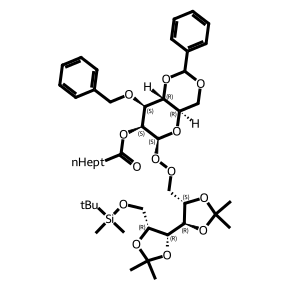 CCCCCCCC(=O)O[C@@H]1[C@H](OOC[C@@H]2OC(C)(C)O[C@H]2[C@@H]2OC(C)(C)O[C@@H]2CO[Si](C)(C)C(C)(C)C)O[C@@H]2COC(c3ccccc3)O[C@H]2[C@@H]1OCc1ccccc1